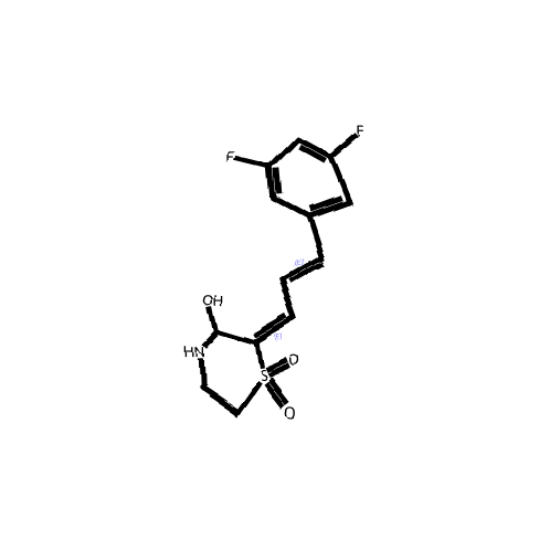 O=S1(=O)CCNC(O)/C1=C\C=C\c1cc(F)cc(F)c1